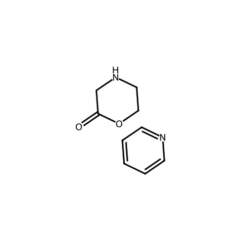 O=C1CNCCO1.c1ccncc1